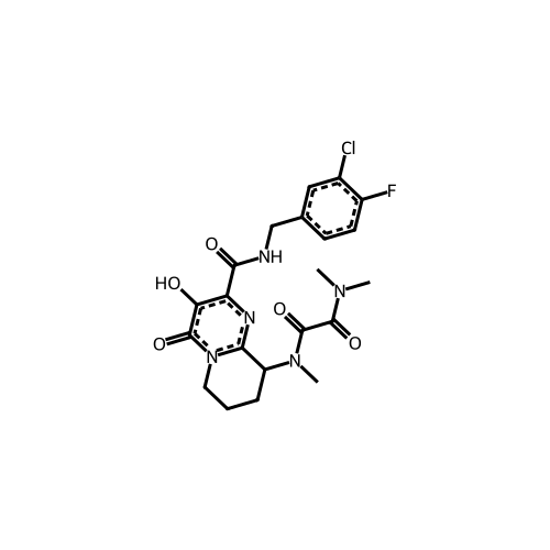 CN(C)C(=O)C(=O)N(C)C1CCCn2c1nc(C(=O)NCc1ccc(F)c(Cl)c1)c(O)c2=O